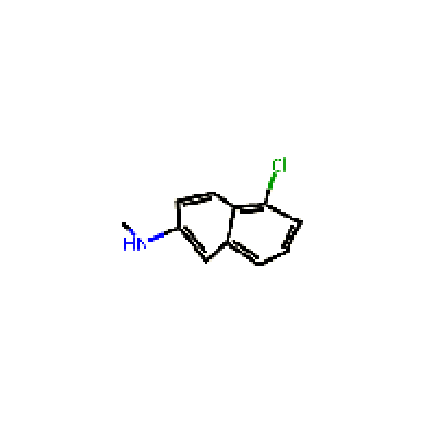 CNc1ccc2c(Cl)cccc2c1